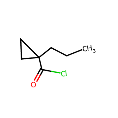 CCCC1(C(=O)Cl)CC1